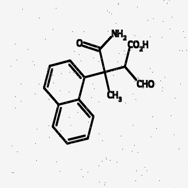 CC(C(N)=O)(c1cccc2ccccc12)C(C=O)C(=O)O